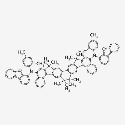 Cc1ccc(N(c2cc3c(c4ccccc24)-c2cc4c(cc2C3(C)C)-c2cc3c(cc2C(C)(C)C4(C)C)-c2c(cc(N(c4ccc(C)cc4C)c4cccc5c4oc4ccccc45)c4ccccc24)C3(C)C)c2cccc3c2oc2ccccc23)c(C)c1